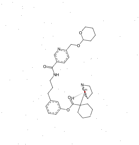 O=C(NCCCc1cccc(OC(=O)C2([C@@H]3CN4CCC3CC4)CCCCC2)c1)c1ccc(COC2CCCCO2)nc1